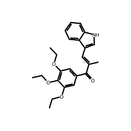 CCOc1cc(C(=O)/C(C)=C/c2c[nH]c3ccccc23)cc(OCC)c1OCC